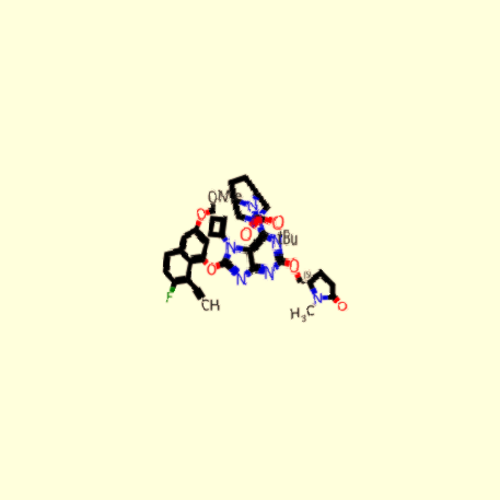 C#Cc1c(F)ccc2cc(OCOC)cc(Oc3nc4nc(OC[C@@H]5CCC(=O)N5C)nc(N5CC6CCC(C5)N6C(=O)OC(C)(C)C)c4n3C3CCC3)c12